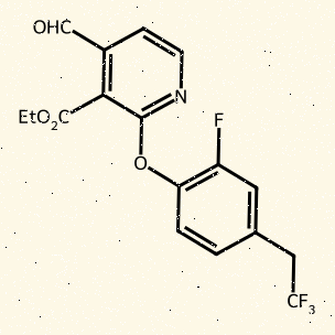 CCOC(=O)c1c(C=O)ccnc1Oc1ccc(CC(F)(F)F)cc1F